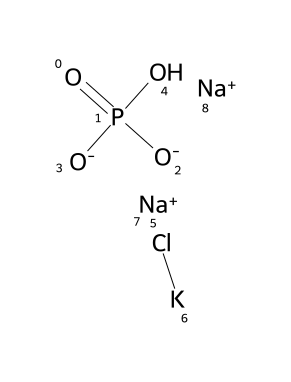 O=P([O-])([O-])O.[Cl][K].[Na+].[Na+]